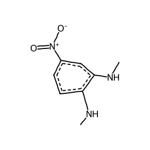 CNc1ccc([N+](=O)[O-])cc1NC